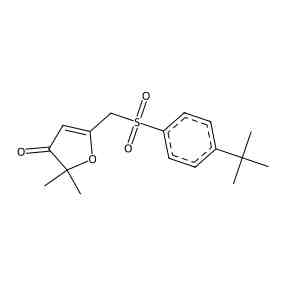 CC1(C)OC(CS(=O)(=O)c2ccc(C(C)(C)C)cc2)=CC1=O